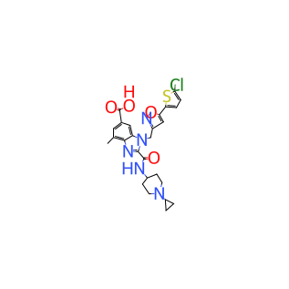 Cc1cc(C(=O)O)cc2c1nc(C(=O)NC1CCN(C3CC3)CC1)n2Cc1cc(-c2ccc(Cl)s2)on1